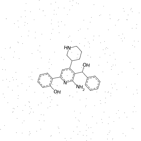 Nc1nc(-c2ccccc2O)cc(C2CCCNC2)c1C(O)c1ccccc1